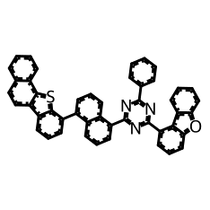 c1ccc(-c2nc(-c3cccc4c(-c5cccc6c5sc5c7ccccc7ccc65)cccc34)nc(-c3cccc4oc5ccccc5c34)n2)cc1